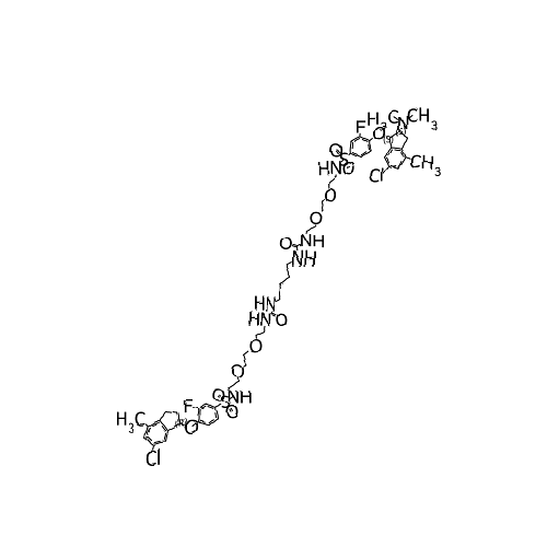 Cc1cc(Cl)cc2c1CC[C@H]2Oc1ccc(S(=O)(=O)NCCOCCOCCNC(=O)NCCCCNC(=O)NCCOCCOCCNS(=O)(=O)c2ccc(O[C@H]3c4cc(Cl)cc(C)c4C[C@@H]3N(C)C)c(F)c2)cc1F